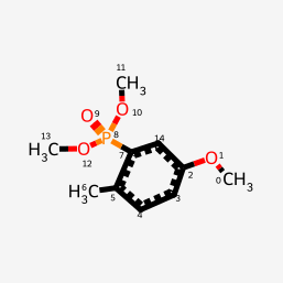 COc1ccc(C)c(P(=O)(OC)OC)c1